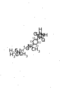 C/C(=N\OCCC[N+](C)(C)C)c1ccc(-n2c(=O)[nH][nH]c2=O)cc1